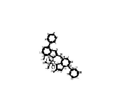 CC1=Cc2c(-c3ccccc3)ccc(C)c2[CH]1[Zr]([Cl])([Cl])([CH]1C(C)=Cc2c(-c3ccccc3)ccc(C)c21)=[Si](C)C